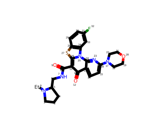 CCN1CCCC1CNC(=O)c1c(=O)c2ccc(N3CCOCC3)nc2n2c1sc1ccc(F)cc12